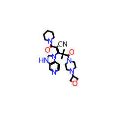 CC(C)(C(=O)N1CCN(C2COC2)CC1)C(=C(C#N)C(=O)N1CCCCC1)N1CNc2cnccc21